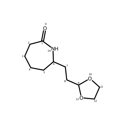 O=C1CCCCC(CCC2OCCO2)N1